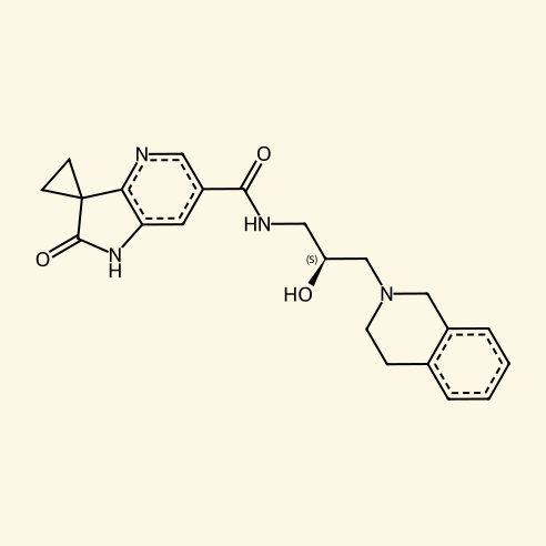 O=C(NC[C@H](O)CN1CCc2ccccc2C1)c1cnc2c(c1)NC(=O)C21CC1